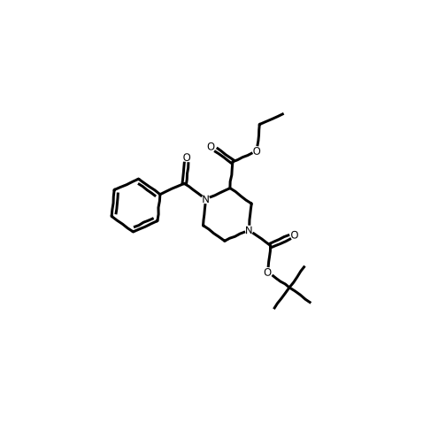 CCOC(=O)C1CN(C(=O)OC(C)(C)C)CCN1C(=O)c1ccccc1